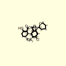 COC(=O)C1=C(O)CC[C@@H](C)[C@@H]1c1c(C)c(Cl)cc2c1cnn2C1CCCCO1